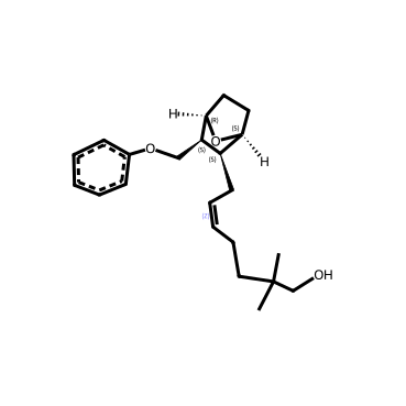 CC(C)(CO)CC/C=C\C[C@H]1[C@@H](COc2ccccc2)[C@H]2CC[C@@H]1O2